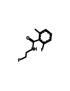 Cc1cccc(F)c1C(=O)NCCF